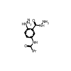 CC(C)C(=O)Nc1ccc(NN)c(C(=O)NN)c1